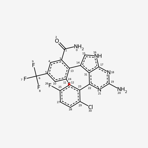 NC(=O)c1cc(C(F)(F)F)cc(F)c1-c1c[nH]c2nc(N)nc(-c3cc(F)ccc3Cl)c12